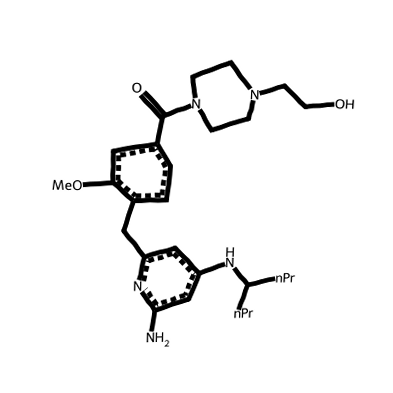 CCCC(CCC)Nc1cc(N)nc(Cc2ccc(C(=O)N3CCN(CCO)CC3)cc2OC)c1